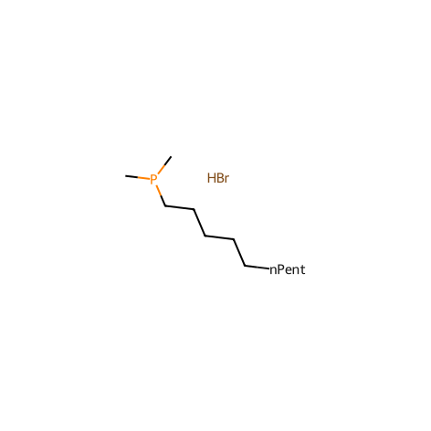 Br.CCCCCCCCCCP(C)C